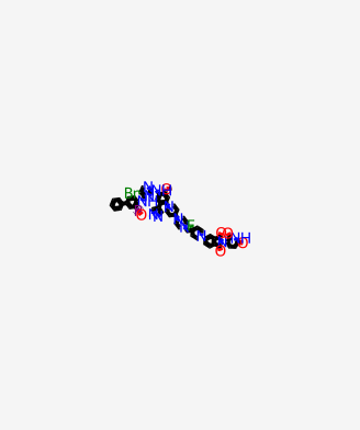 COc1cc(N2CCC(N3CCN(CC4(F)CCN(c5ccc6c(c5)C(=O)N(C5CCC(=O)NC5=O)C6=O)CC4)CC3)CC2)c(-c2cnn(C)c2)cc1Nc1ncc(Br)c(Nc2ccc(-c3ccccc3)cc2P(C)(C)=O)n1